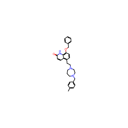 Cc1ccc(CN2CCCN(CCc3ccc(OCc4ccccc4)c4[nH]c(=O)ccc34)CC2)cc1